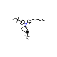 C=CCCCCc1ccc(N(c2ccc(C(C)(C)CC)cc2)c2ccc(C(C)(C)CC)cc2)cc1